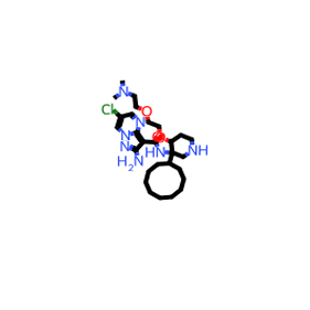 CN(C)CCOCCOC1CCNCC1(NC(=O)c1c(N)nn2cc(Cl)cnc12)C1CCCCCCCCC1